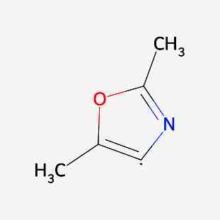 Cc1[c]nc(C)o1